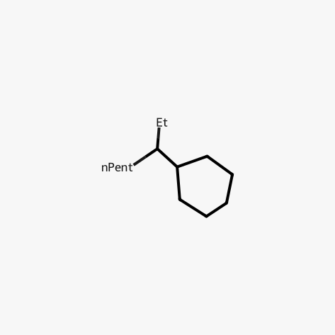 [CH2]CC(CCCCC)C1CCCCC1